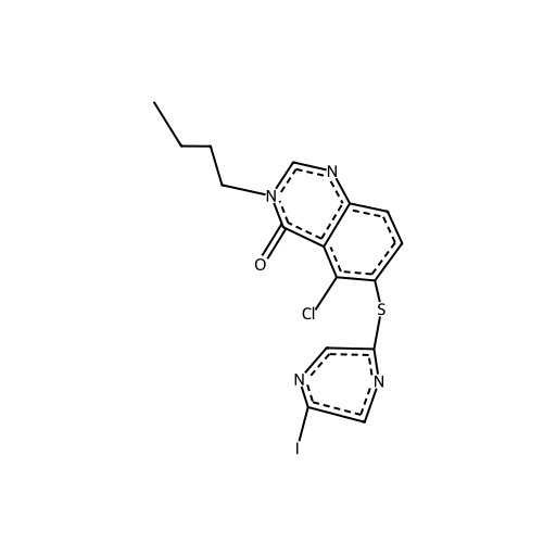 CCCCn1cnc2ccc(Sc3cnc(I)cn3)c(Cl)c2c1=O